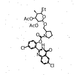 CC[C@H]1O[C@@H](OCC2CCCN2C(=O)Oc2ccc(Cl)cc2-c2nc3ccc(Cl)cc3c(=O)[nH]2)[C@H](OC(C)=O)[C@@H](OC(C)=O)[C@H]1C